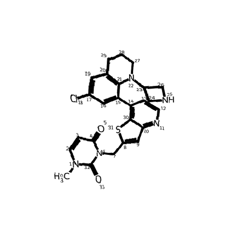 Cn1ccc(=O)n(Cc2cc3nccc(-c4cc(Cl)cc5c4N(C4CNC4)CCC5)c3s2)c1=O